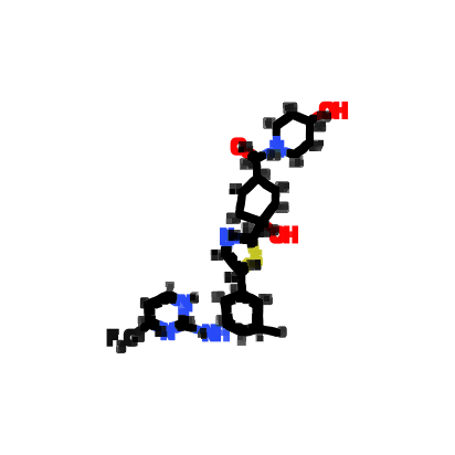 Cc1cc(Nc2nccc(C(F)(F)F)n2)cc(-c2cnc(C3(O)CCC(C(=O)N4CCC(O)CC4)CC3)s2)c1